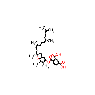 CC(C)=CCCC(C)=CCCC(C)=CCCC1(C)CCc2cc(OC(=O)c3ccc(C(=O)O)cc3C(=O)O)c(C)c(C)c2O1